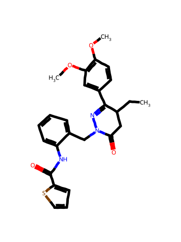 CCC1CC(=O)N(Cc2ccccc2NC(=O)c2cccs2)N=C1c1ccc(OC)c(OC)c1